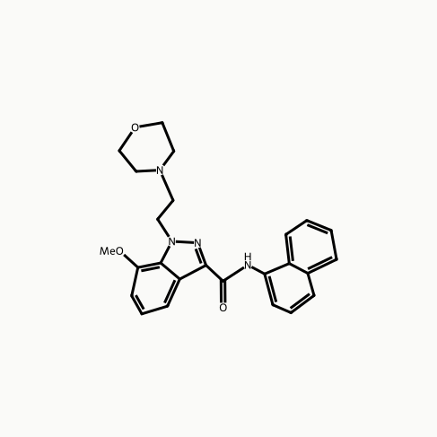 COc1cccc2c(C(=O)Nc3cccc4ccccc34)nn(CCN3CCOCC3)c12